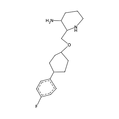 NC1CCCNC1COC1CCC(c2ccc(F)cc2)CC1